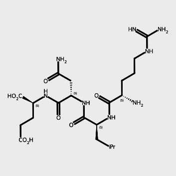 CC(C)C[C@H](NC(=O)[C@@H](N)CCCNC(=N)N)C(=O)N[C@@H](CC(N)=O)C(=O)N[C@@H](CCC(=O)O)C(=O)O